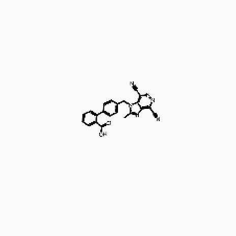 Cc1nc2c(C#N)nnc(C#N)c2n1Cc1ccc(-c2ccccc2C(=O)O)cc1